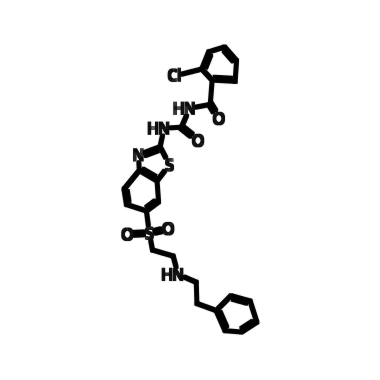 O=C(NC(=O)c1ccccc1Cl)Nc1nc2ccc(S(=O)(=O)CCNCCc3ccccc3)cc2s1